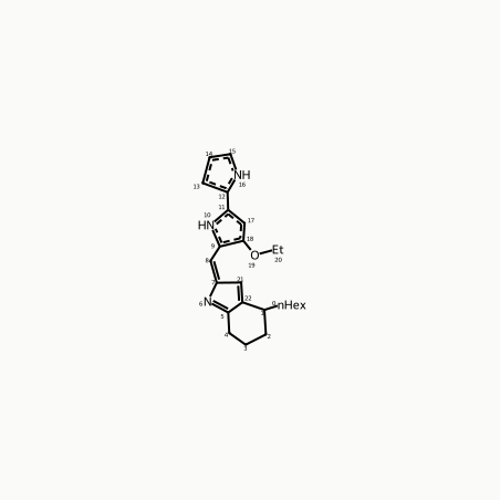 CCCCCCC1CCCC2=NC(=Cc3[nH]c(-c4ccc[nH]4)cc3OCC)C=C21